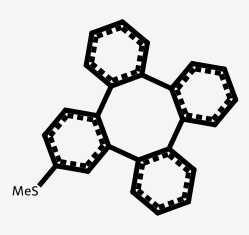 CSc1ccc2c(c1)-c1ccccc1-c1ccccc1-c1ccccc1-2